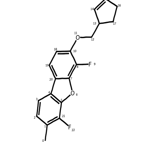 Cc1ccc2c(oc3c(F)c(OCC4C=CCC4)ccc32)c1F